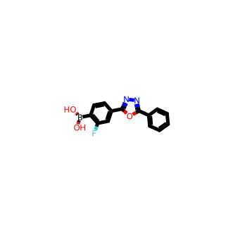 OB(O)c1ccc(-c2nnc(-c3ccccc3)o2)cc1F